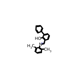 Cc1cccc(C)c1/N=C/c1cccc(-c2ccccc2)c1O